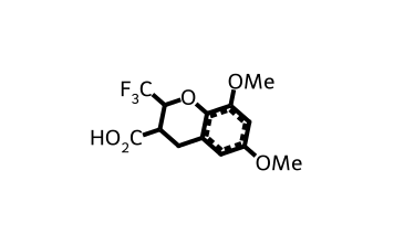 COc1cc2c(c(OC)c1)OC(C(F)(F)F)C(C(=O)O)C2